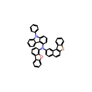 c1ccc(-n2c3ccccc3c3c(N(c4ccc5ccc6sc7ccccc7c6c5c4)c4cccc5c4oc4ccccc45)cccc32)cc1